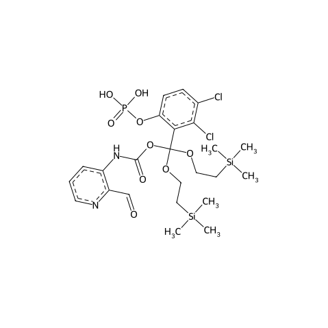 C[Si](C)(C)CCOC(OCC[Si](C)(C)C)(OC(=O)Nc1cccnc1C=O)c1c(OP(=O)(O)O)ccc(Cl)c1Cl